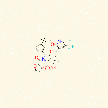 COc1ncc(C(F)(F)F)cc1CO[C@@H]1[C@H](C(C)(C)C)[C@@H](C(=O)O)N(C(=O)[C@@H]2CCCO2)[C@H]1c1cccc(C(C)(C)C)c1